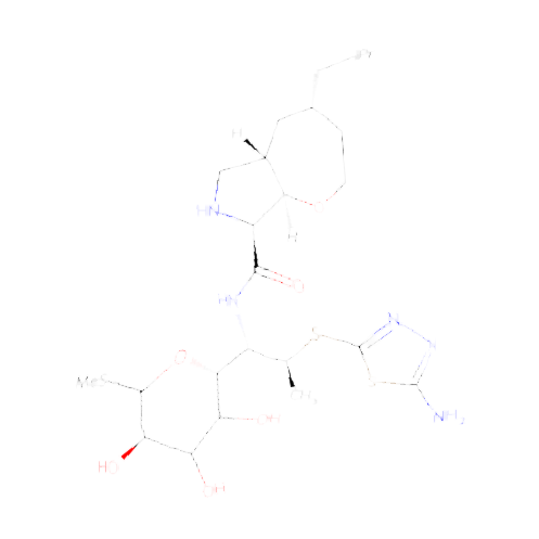 CSC1O[C@H]([C@H](NC(=O)[C@H]2NC[C@@H]3C[C@H](CC(C)C)CCO[C@H]32)[C@H](C)Sc2nnc(N)s2)C(O)C(O)[C@H]1O